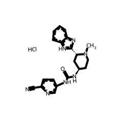 CN1CC[C@@H](NC(=O)Nc2ccc(C#N)nc2)C[C@@H]1c1nc2ccccc2[nH]1.Cl